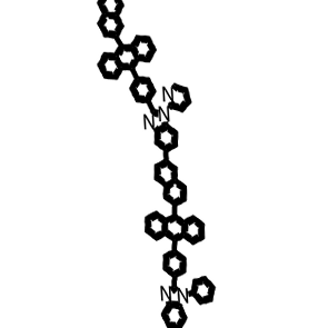 c1ccc(-n2c(-c3ccc(-c4c5ccccc5c(-c5ccc6cc(-c7ccc8c(c7)nc(-c7ccc(-c9c%10ccccc%10c(-c%10ccc%11ccccc%11c%10)c%10ccccc9%10)cc7)n8-c7ccccn7)ccc6c5)c5ccccc45)cc3)nc3ccccc32)cc1